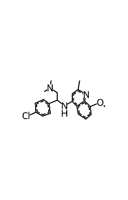 COc1cccc2c(NC(CN(C)C)c3ccc(Cl)cc3)cc(C)nc12